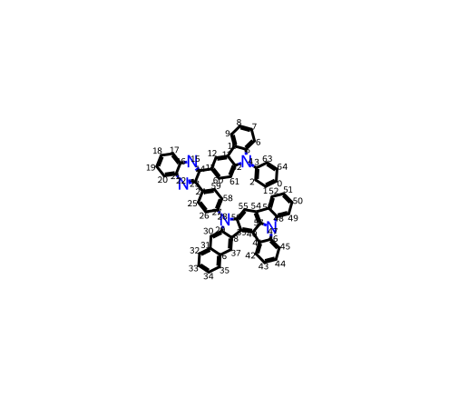 c1ccc(-n2c3ccccc3c3cc(-c4nc5ccccc5nc4-c4ccc(-n5c6cc7ccccc7cc6c6c7c8ccccc8n8c9ccccc9c(cc65)c78)cc4)ccc32)cc1